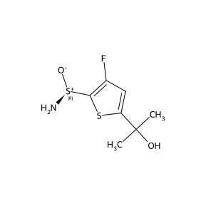 CC(C)(O)c1cc(F)c([S@@+](N)[O-])s1